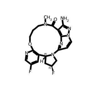 CN1CCCOc2ncc(F)cc2[C@H]2C[C@H](F)CN2c2ccn3nc(N)c(c3n2)C1=O